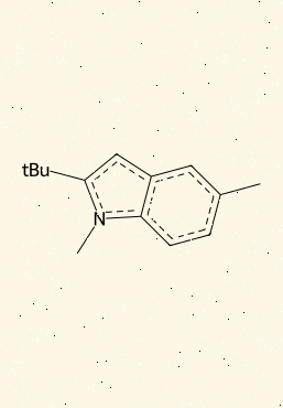 Cc1ccc2c(c1)cc(C(C)(C)C)n2C